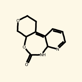 O=C1NC2N=CC=CC2=C2CCOCC2O1